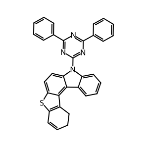 C1=Cc2sc3ccc4c(c5ccccc5n4-c4nc(-c5ccccc5)nc(-c5ccccc5)n4)c3c2CC1